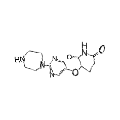 O=C1CCC(Oc2cnc(N3CCNCC3)nc2)C(=O)N1